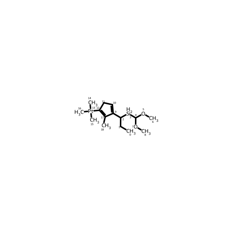 CCC([SiH2]C(OC)OC)C1=CC[C]([Pt]([CH3])([CH3])[CH3])=C1C